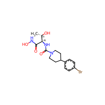 C[C@H](O)[C@@H](NC(=O)N1CCC(c2ccc(Br)cc2)CC1)C(=O)NO